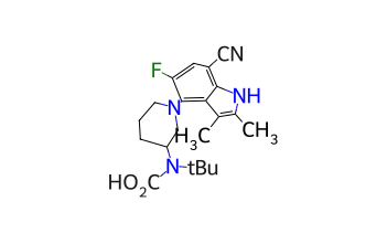 Cc1[nH]c2c(C#N)cc(F)c(N3CCCC(N(C(=O)O)C(C)(C)C)C3)c2c1C